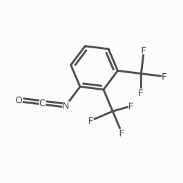 O=C=Nc1cccc(C(F)(F)F)c1C(F)(F)F